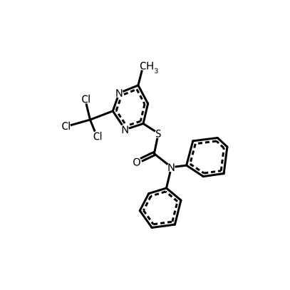 Cc1cc(SC(=O)N(c2ccccc2)c2ccccc2)nc(C(Cl)(Cl)Cl)n1